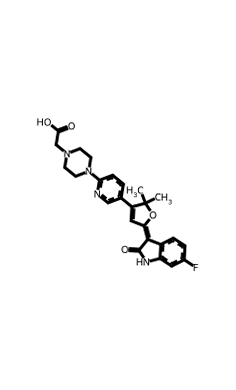 CC1(C)O/C(=C2/C(=O)Nc3cc(F)ccc32)C=C1c1ccc(N2CCN(CC(=O)O)CC2)nc1